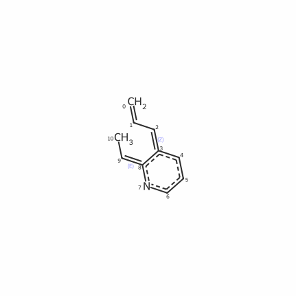 C=C/C=c1/cccn/c1=C/C